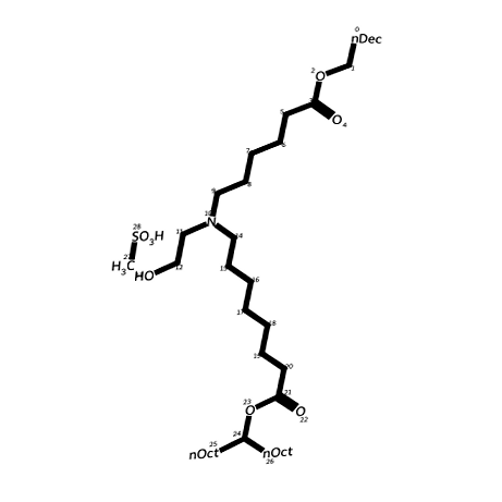 CCCCCCCCCCCOC(=O)CCCCCN(CCO)CCCCCCCC(=O)OC(CCCCCCCC)CCCCCCCC.CS(=O)(=O)O